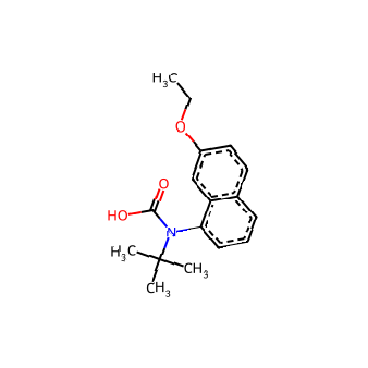 CCOc1ccc2cccc(N(C(=O)O)C(C)(C)C)c2c1